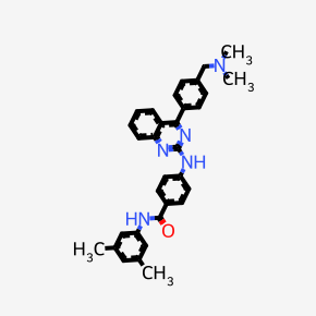 Cc1cc(C)cc(NC(=O)c2ccc(Nc3nc(-c4ccc(CN(C)C)cc4)c4ccccc4n3)cc2)c1